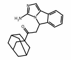 Nc1ncc2n1C(CC(=O)C13CC4CC(CC(C4)C1)C3)c1ccccc1-2